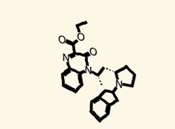 CCOC(=O)c1nc2ccccc2n([C@@H](C)C[C@@H]2CCCN2C2Cc3ccccc3C2)c1=O